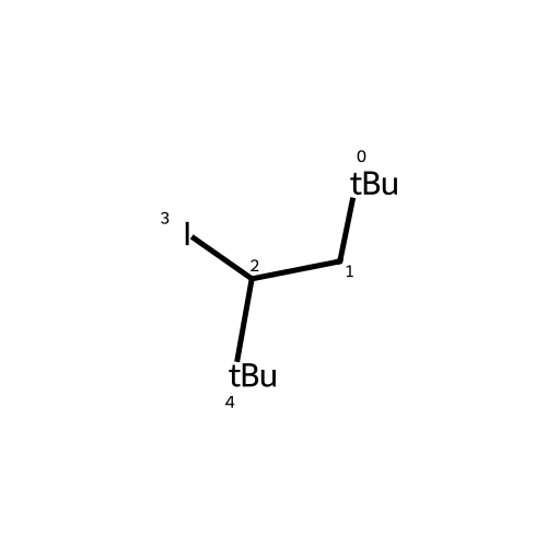 CC(C)(C)CC(I)C(C)(C)C